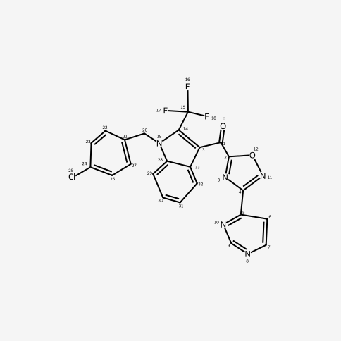 O=C(c1nc(-c2ccncn2)no1)c1c(C(F)(F)F)n(Cc2ccc(Cl)cc2)c2ccccc12